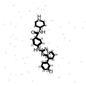 O=C(NC1CCNCC1)c1ccc(Nc2nc3c(-c4cccc(Cl)c4)cccn3n2)cc1